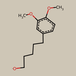 COc1ccc(CCCCC[O])cc1OC